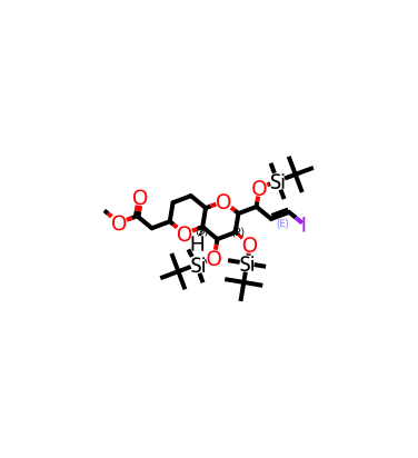 COC(=O)CC1CCC2OC(C(/C=C/I)O[Si](C)(C)C(C)(C)C)[C@@H](O[Si](C)(C)C(C)(C)C)C(O[Si](C)(C)C(C)(C)C)[C@H]2O1